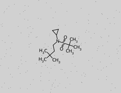 CC(C)(C)CCN(C1CC1)S(=O)(=O)C(C)(C)C